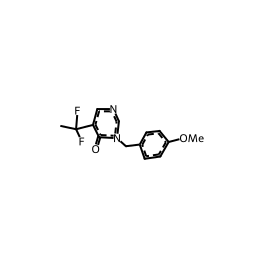 COc1ccc(Cn2cncc(C(C)(F)F)c2=O)cc1